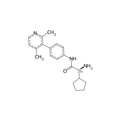 Cc1ccnc(C)c1-c1ccc(NC(=O)[C@@H](N)C2CCCC2)cc1